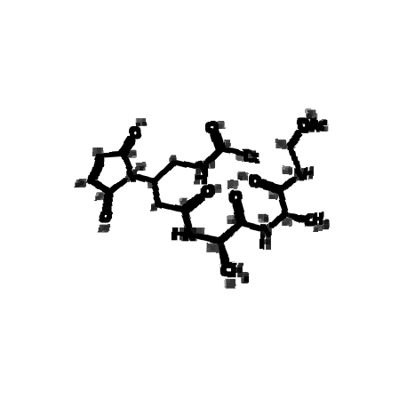 CCC(=O)NCC(CC(=O)N[C@H](C)C(=O)N[C@H](C)C(=O)NCOC(C)=O)N1C(=O)C=CC1=O